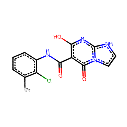 CC(C)c1cccc(NC(=O)c2c(O)nc3[nH]ccn3c2=O)c1Cl